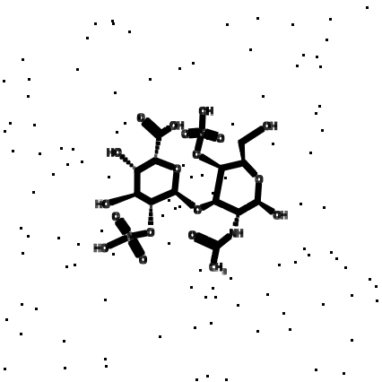 CC(=O)N[C@@H]1[C@@H](O[C@@H]2O[C@@H](C(=O)O)[C@@H](O)[C@H](O)[C@H]2OS(=O)(=O)O)[C@@H](OS(=O)(=O)O)[C@@H](CO)O[C@H]1O